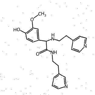 COc1cc(C(NCCc2ccncc2)C(=O)NCCc2cccnc2)ccc1O